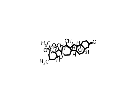 CC1=C2C[C@H]3[C@@H](CC[C@@H]4CC(=O)CC[C@@]43C)[C@@H]2CC[C@@]2(C1)O[C@@H]1C[C@H](C)CN(S(C)(=O)=O)[C@H]1[C@H]2C